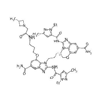 CCn1nc(C)cc1C(=O)Nc1nc2cc(C(N)=O)cc(OCCCNC(=O)CN3CC(C)C3)c2n1CCC[C@H]1COc2cc(C(N)=O)cc3nc(NC(=O)c4cc(C)nn4CC)n1c23